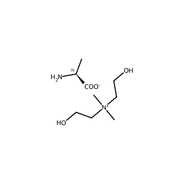 C[C@H](N)C(=O)[O-].C[N+](C)(CCO)CCO